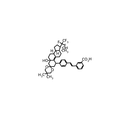 CC1(C)COC2(CC(c3ccc(/C=C/c4cccc(C(=O)O)c4)cc3)C3=C4CC[C@@]5(C)[C@@H](CC[C@@]5(O)C(F)(F)C(F)(F)F)[C@@H]4CC[C@@]3(O)C2)OC1